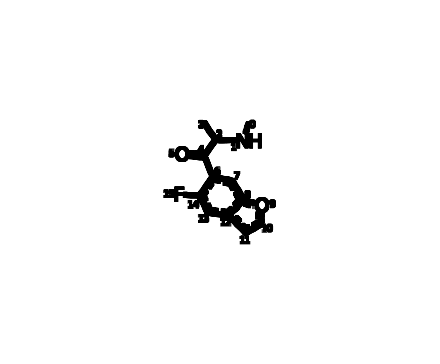 CNC(C)C(=O)c1cc2occc2cc1F